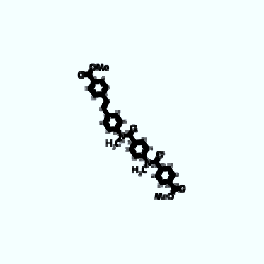 COC(=O)c1ccc(/C=C/c2ccc(N(C)C(=O)c3ccc(N(C)C(=O)c4ccc(C(=O)OC)cc4)cc3)cc2)cc1